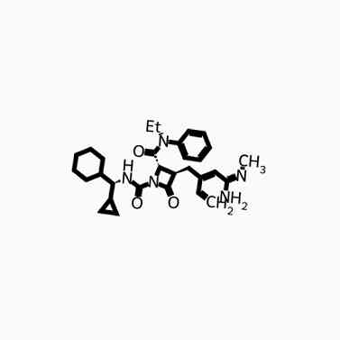 C=C/C(=C\C(N)=N/C)C[C@H]1C(=O)N(C(=O)N[C@@H](C2CCCCC2)C2CC2)[C@@H]1C(=O)N(CC)c1ccccc1